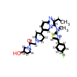 CCc1nc2ccc(C3CCN(CC(=O)N4CCC(O)C4)CC3)cn2c1N(C)c1nc(-c2ccc(F)cc2)cs1